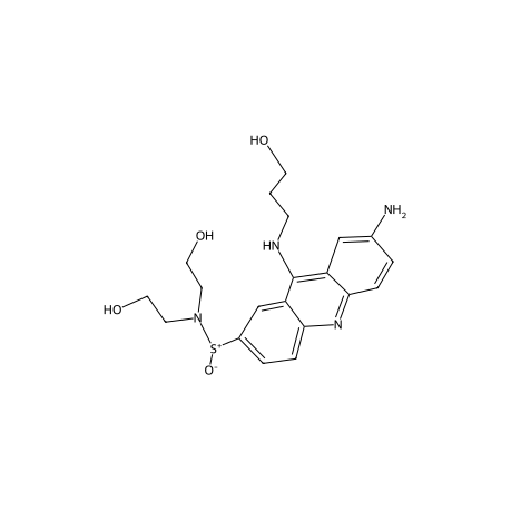 Nc1ccc2nc3ccc([S+]([O-])N(CCO)CCO)cc3c(NCCCO)c2c1